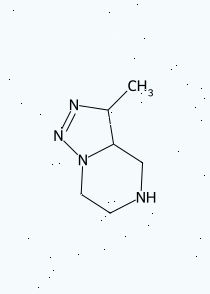 CC1N=NN2CCNCC12